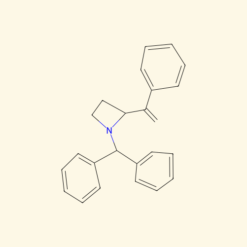 C=C(c1ccccc1)C1CCN1C(c1ccccc1)c1ccccc1